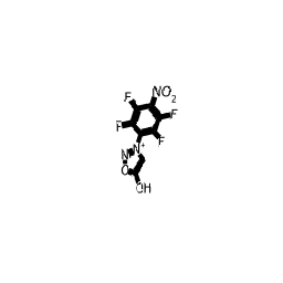 O=[N+]([O-])c1c(F)c(F)c(-[n+]2cc(O)on2)c(F)c1F